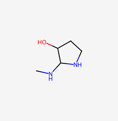 CNC1NCCC1O